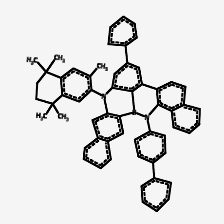 Cc1cc2c(cc1N1c3cc4ccccc4cc3B3c4c(cc(-c5ccccc5)cc41)-c1ccc4ccccc4c1N3c1ccc(-c3ccccc3)cc1)C(C)(C)CCC2(C)C